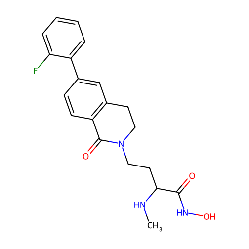 CNC(CCN1CCc2cc(-c3ccccc3F)ccc2C1=O)C(=O)NO